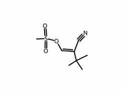 CC(C)(C)C(C#N)=COS(C)(=O)=O